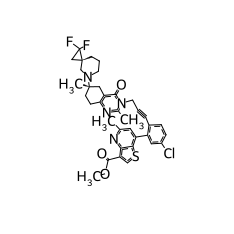 COC(=O)c1csc2c(-c3cc(Cl)ccc3C#CCn3c(C)nc4c(c3=O)C[C@@](C)(N3CCC[C@@]5(C3)CC5(F)F)CC4)cc(C)nc12